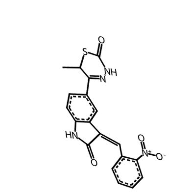 CC1SC(=O)NN=C1c1ccc2c(c1)C(=Cc1ccccc1[N+](=O)[O-])C(=O)N2